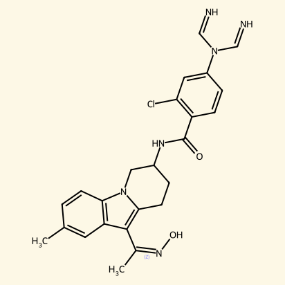 C/C(=N/O)c1c2n(c3ccc(C)cc13)CC(NC(=O)c1ccc(N(C=N)C=N)cc1Cl)CC2